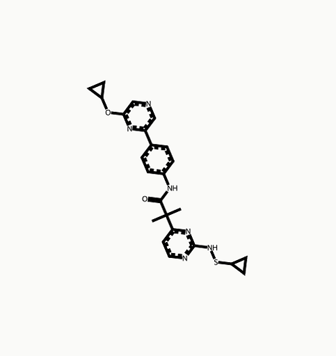 CC(C)(C(=O)Nc1ccc(-c2cncc(OC3CC3)n2)cc1)c1ccnc(NSC2CC2)n1